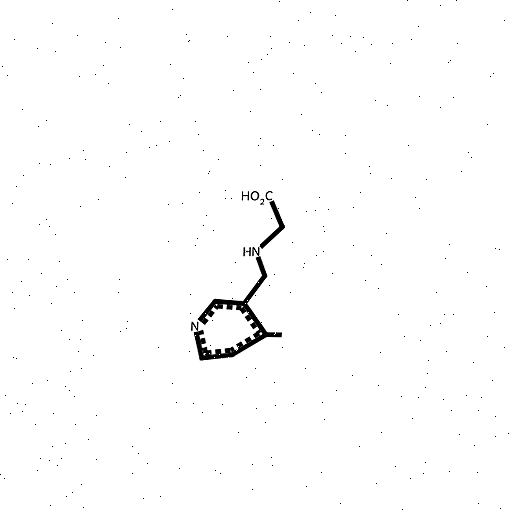 Cc1ccncc1CNCC(=O)O